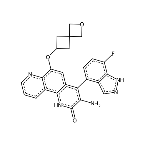 Nc1c(-c2ccc(F)c3[nH]ncc23)c2cc(OC3CC4(COC4)C3)c3ncccc3c2[nH]c1=O